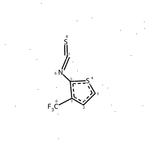 FC(F)(F)c1ccsc1N=C=S